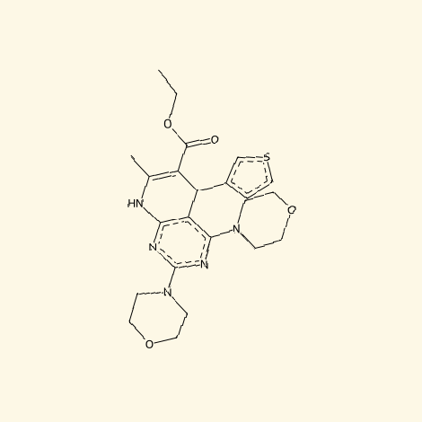 CCOC(=O)C1=C(C)Nc2nc(N3CCOCC3)nc(N3CCOCC3)c2C1c1ccsc1